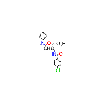 CN(c1ccccc1)C(C=O)OC(CCNC(=O)c1ccc(Cl)cc1)C(=O)O